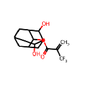 C=C(C(=O)OC1C2CC3CC1C(O)C(C2)C3O)C(F)(F)F